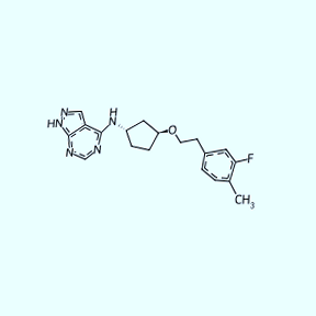 Cc1ccc(CCO[C@H]2CC[C@H](Nc3ncnc4[nH]ncc34)C2)cc1F